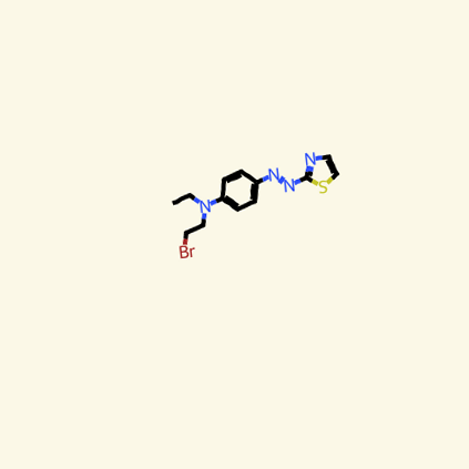 CCN(CCBr)c1ccc(N=Nc2nccs2)cc1